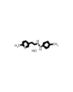 Cc1ccc(NNCCc2ccc(C)nc2)cc1.Cl